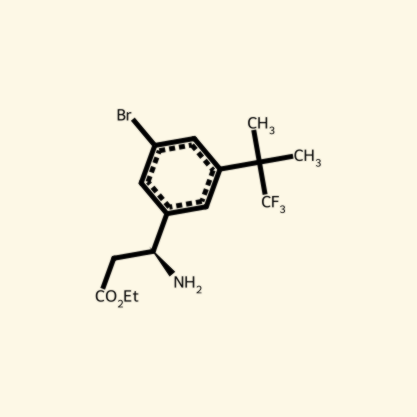 CCOC(=O)C[C@H](N)c1cc(Br)cc(C(C)(C)C(F)(F)F)c1